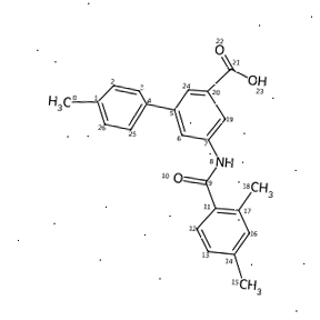 Cc1ccc(-c2cc(NC(=O)c3ccc(C)cc3C)cc(C(=O)O)c2)cc1